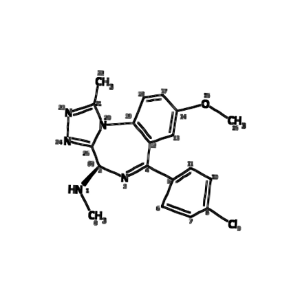 CN[C@@H]1N=C(c2ccc(Cl)cc2)c2cc(OC)ccc2-n2c(C)nnc21